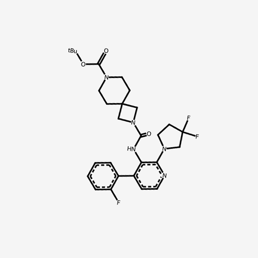 CC(C)(C)OC(=O)N1CCC2(CC1)CN(C(=O)Nc1c(-c3ccccc3F)ccnc1N1CCC(F)(F)C1)C2